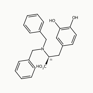 O=C(O)[C@H](Cc1ccc(O)c(O)c1)N(Cc1ccccc1)Cc1ccccc1